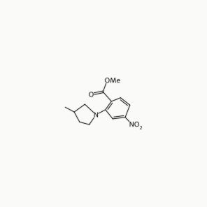 COC(=O)c1ccc([N+](=O)[O-])cc1N1CCC(C)C1